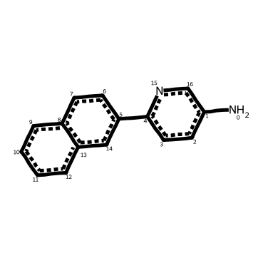 Nc1ccc(-c2ccc3ccccc3c2)nc1